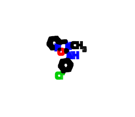 CN(Cc1ccccn1)C(=O)Nc1ccc(Cl)cc1